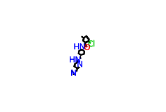 Cc1ccc(Cl)c(C(=O)N[C@H]2CC[C@H](CNc3ccc(CN(C)C)cn3)CC2)c1